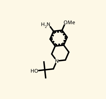 COc1cc2c(cc1N)CN(CC(C)(C)O)CC2